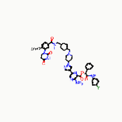 COc1ccc(C(=O)NCC2CCC(CN3CCC(n4cc(-c5cnc(N)c(C(=O)O[C@@H](C(=O)Nc6ccc(F)cc6)c6ccccc6)n5)cn4)CC3)CC2)cc1N1CCC(=O)NC1=O